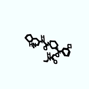 CCNC(=O)CO[C@H](c1cccc(Cl)c1)[C@@H]1CCCN(C(=O)NC(CNC)CC2CCCCC2)C1